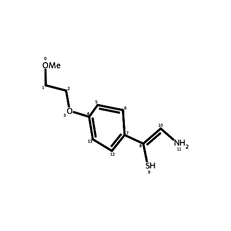 COCCOc1ccc(/C(S)=C/N)cc1